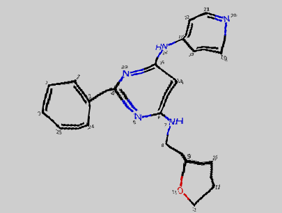 c1ccc(-c2nc(NCC3CCCO3)cc(Nc3ccncc3)n2)cc1